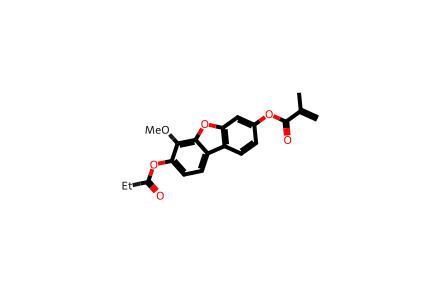 C=C(C)C(=O)Oc1ccc2c(c1)oc1c(OC)c(OC(=O)CC)ccc12